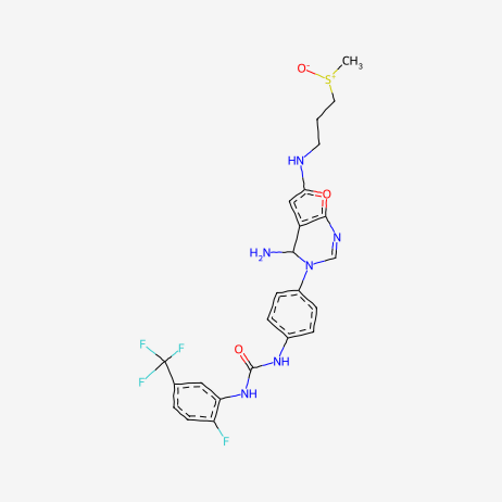 C[S+]([O-])CCCNc1cc2c(o1)N=CN(c1ccc(NC(=O)Nc3cc(C(F)(F)F)ccc3F)cc1)C2N